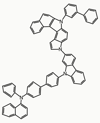 c1ccc(-c2cccc(-n3c4ccc5ccccc5c4c4c5ccn(-c6ccc7c8ccccc8n(-c8ccc(-c9ccc(N(c%10ccccc%10)c%10cccc%11ccccc%10%11)cc9)cc8)c7c6)c5ccc43)c2)cc1